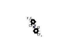 FC(F)(F)c1ccc(/N=N/c2ccc(C(F)(F)F)cc2Cl)c(Cl)c1